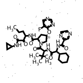 CCCC(NC(=O)C1C[C@H](Oc2ncncc2F)CN1C(=O)C(NC(=O)C(NC(=O)c1cnccn1)C1CCCCC1)C(C)(C)C)C(=O)C(=O)NC1CC1